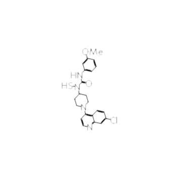 COc1cccc(NC(=O)N(S)C2CCN(c3ccnc4cc(Cl)ccc34)CC2)c1